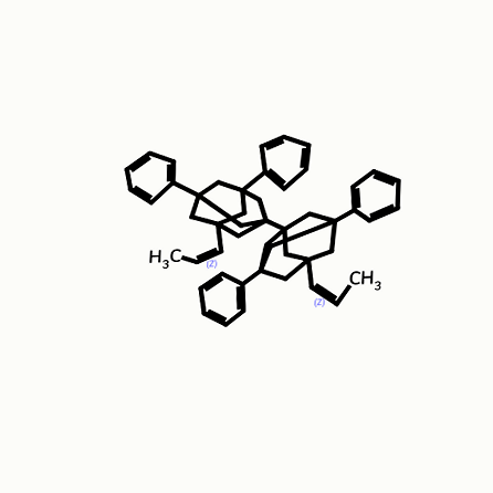 C/C=C\C12CC3(c4ccccc4)CC(c4ccccc4)(C1)CC(C14CC5(/C=C\C)CC(c6ccccc6)(CC(c6ccccc6)(C5)C1)C4)(C2)C3